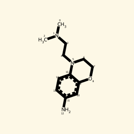 CN(C)CCN1CCOc2cc(N)ccc21